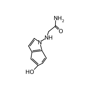 NC(=O)CNn1ccc2cc(O)ccc21